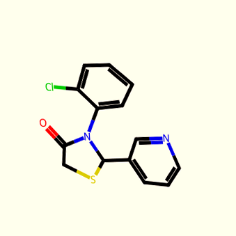 O=C1CSC(c2cccnc2)N1c1ccccc1Cl